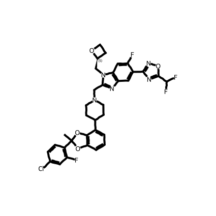 CC1(c2ccc(Cl)cc2F)Oc2cccc(C3CCN(Cc4nc5cc(-c6noc(C(F)F)n6)c(F)cc5n4C[C@@H]4CCO4)CC3)c2O1